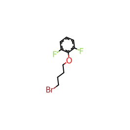 Fc1cccc(F)c1OCCCCBr